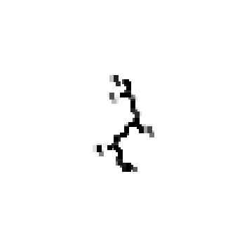 C=CC(=C)CCC=C(C)CCC=C(C)COC